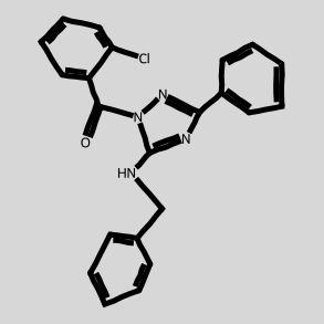 O=C(c1ccccc1Cl)n1nc(-c2ccccc2)nc1NCc1ccccc1